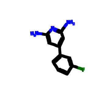 Nc1cc(-c2cccc(F)c2)cc(N)n1